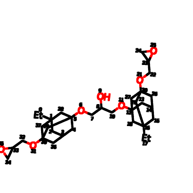 CCC12CC3CC(OCC(O)COC45CC6CC(CC)(C4)CC(OCC4CO4)(C6)C5)(C1)CC(OCC1CO1)(C3)C2